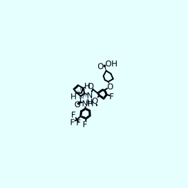 COc1cc(F)c(O[C@H]2CC[C@@H](C(=O)O)CC2)cc1C(=O)N[C@H]1[C@@H](C(=O)Nc2ccc(F)c(C(F)(F)F)c2)[C@@H]2C=C[C@H]1C2